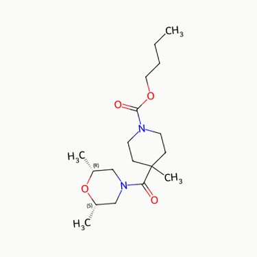 CCCCOC(=O)N1CCC(C)(C(=O)N2C[C@@H](C)O[C@@H](C)C2)CC1